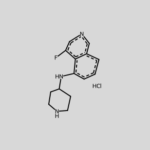 Cl.Fc1cncc2cccc(NC3CCNCC3)c12